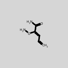 C=CC=C(ON)C(N)=O